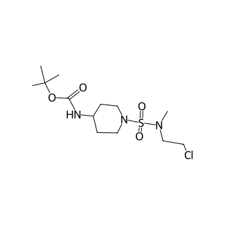 CN(CCCl)S(=O)(=O)N1CCC(NC(=O)OC(C)(C)C)CC1